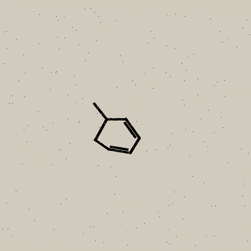 CC1[C]=CC=C[CH]1